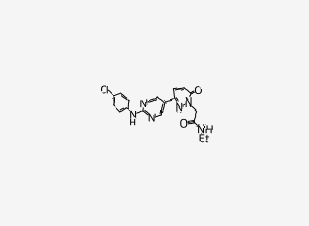 CCNC(=O)Cn1nc(-c2cnc(Nc3ccc(Cl)cc3)nc2)ccc1=O